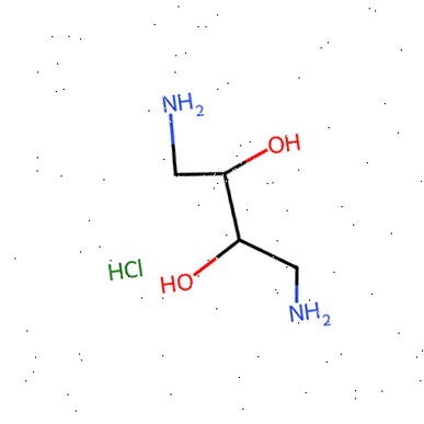 Cl.NCC(O)C(O)CN